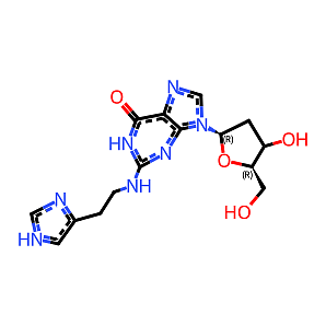 O=c1[nH]c(NCCc2c[nH]cn2)nc2c1ncn2[C@H]1CC(O)[C@@H](CO)O1